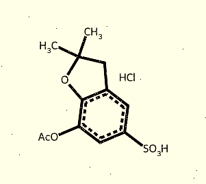 CC(=O)Oc1cc(S(=O)(=O)O)cc2c1OC(C)(C)C2.Cl